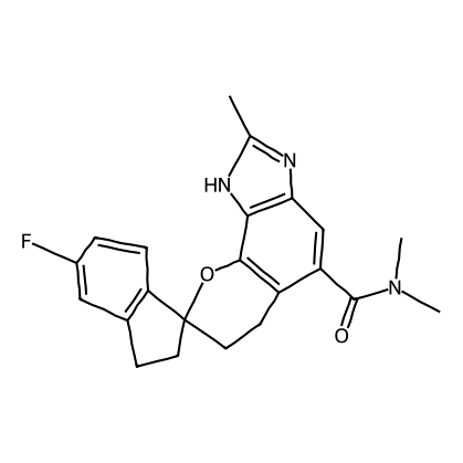 Cc1nc2cc(C(=O)N(C)C)c3c(c2[nH]1)OC1(CCc2cc(F)ccc21)CC3